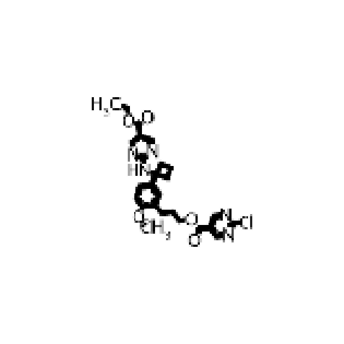 CCOC(=O)c1cnc(NC2(c3ccc(OC)c(CCCOC(=O)c4cnc(Cl)nc4)c3)CCC2)nc1